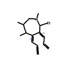 C=C/C=C1\C(=C/C=C)C(CC)N(C)CC(C)C1C